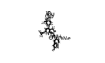 COc1cn2nc(C)cc2cc1NC(=O)N1CCc2c(N3CCN(C(=O)OC(C)(C)C)C(C)(C)C3)cc(C3CC3)nc21